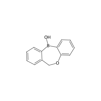 OB1c2ccccc2COc2ccccc21